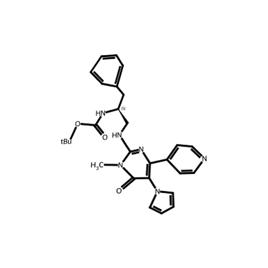 Cn1c(NC[C@H](Cc2ccccc2)NC(=O)OC(C)(C)C)nc(-c2ccncc2)c(-n2cccc2)c1=O